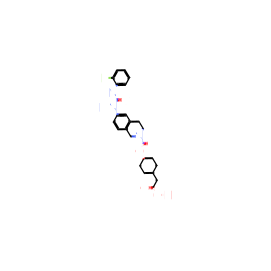 O=C(O)CC1CCC(OC(=O)N2CCc3cc(NC(=O)Nc4ccccc4F)ccc3C2)CC1